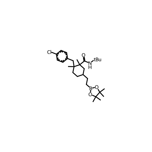 CC(C)(C)NC(=O)C1(C)CC(CCB2OC(C)(C)C(C)(C)O2)CCC1(C)Cc1ccc(Cl)cc1